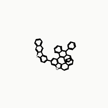 C1=CC2=C(c3cc(-c4ccc5sc6cc7ccccc7cc6c5c4)cc4oc5ccc6ccccc6c5c34)c3ccccc3C(c3ccccc3)C2C=C1